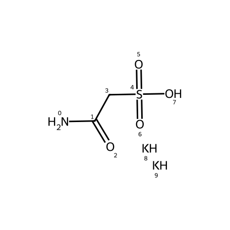 NC(=O)CS(=O)(=O)O.[KH].[KH]